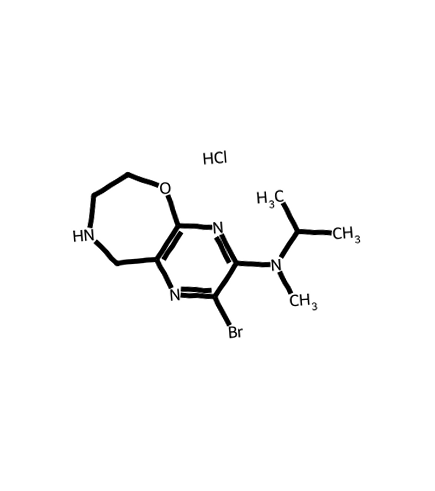 CC(C)N(C)c1nc2c(nc1Br)CNCCO2.Cl